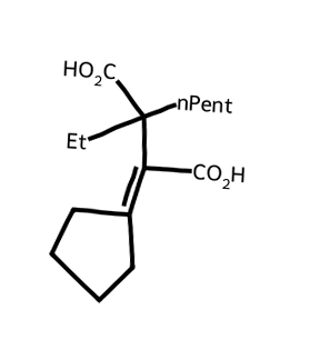 CCCCCC(CC)(C(=O)O)C(C(=O)O)=C1CCCC1